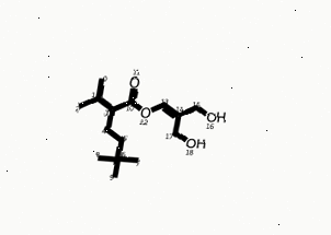 CC(C)C(CCC(C)(C)C)C(=O)OC=C(CO)CO